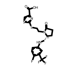 O=C(O)c1csc(SCCN2C(=O)CC[C@@H]2CNc2ccc(F)c(C(F)(F)F)c2)n1